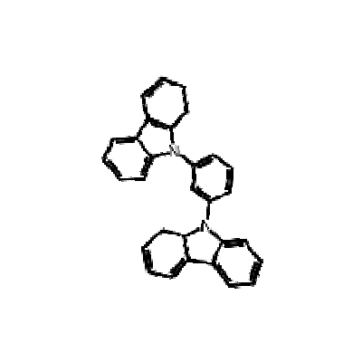 C1=CCC2C(=C1)c1ccccc1N2c1cccc(-n2c3c(c4ccccc42)C=CCC3)c1